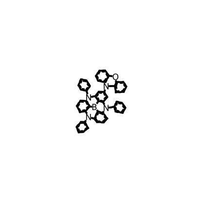 c1ccc(N2c3cccc4c3B3c5c2cccc5N(c2ccccc2)c2cc(N5c6ccccc6Oc6ccccc65)cc(c23)N4c2ccccc2)cc1